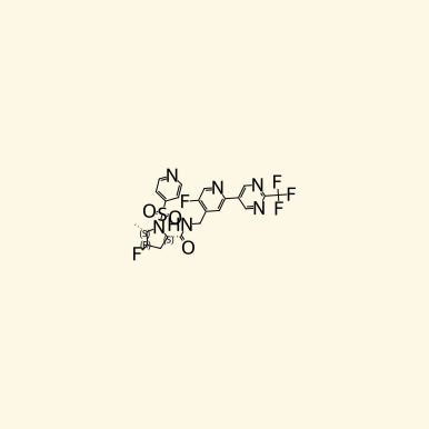 C[C@H]1[C@H](F)C[C@@H](C(=O)NCc2cc(-c3cnc(C(F)(F)F)nc3)ncc2F)N1S(=O)(=O)c1ccncc1